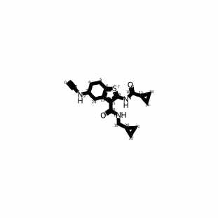 C#CNC1CCc2sc(NC(=O)C3CC3)c(C(=O)NCC3CC3)c2C1